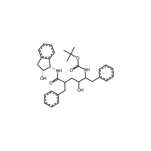 CC(C)(C)OC(=O)NC(Cc1ccccc1)C(O)CC(Cc1ccccc1)C(=O)N[C@H]1c2ccccc2C[C@H]1O